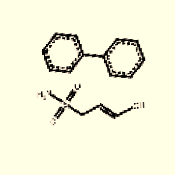 NS(=O)(=O)CC=CO.c1ccc(-c2ccccc2)cc1